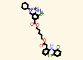 CCCN(Cc1cc(C(=O)OCCCCCOC(=O)Cc2ccccc2Nc2c(Cl)cccc2Cl)cc(Br)c1N)C1CCCCC1